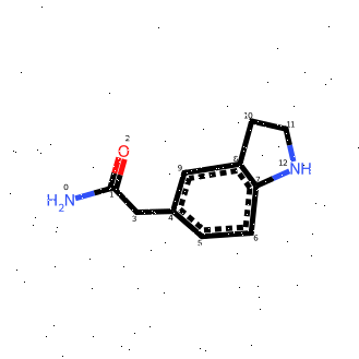 NC(=O)Cc1ccc2c(c1)CCN2